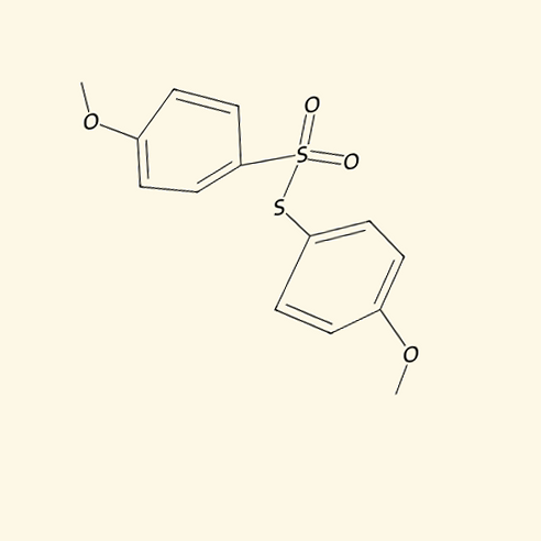 COc1ccc(SS(=O)(=O)c2ccc(OC)cc2)cc1